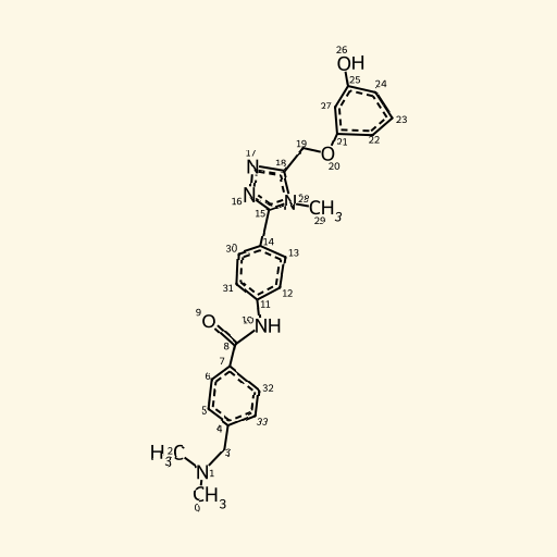 CN(C)Cc1ccc(C(=O)Nc2ccc(-c3nnc(COc4cccc(O)c4)n3C)cc2)cc1